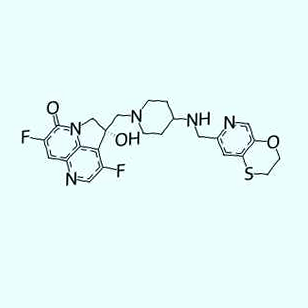 O=c1c(F)cc2ncc(F)c3c2n1C[C@@]3(O)CN1CCC(NCc2cc3c(cn2)OCCS3)CC1